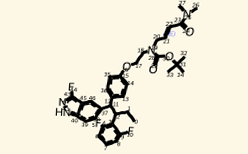 CCC(c1c(F)cccc1F)C(c1ccc(OCCN(C/C=C/C(=O)N(C)C)C(=O)OC(C)(C)C)cc1)c1ccc2[nH]nc(F)c2c1